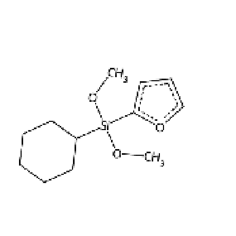 CO[Si](OC)(c1ccco1)C1CCCCC1